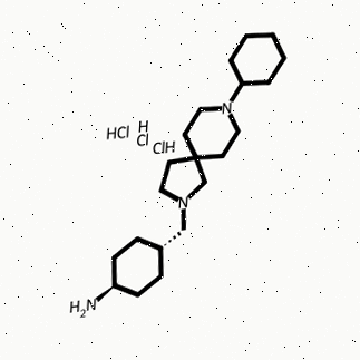 Cl.Cl.Cl.N[C@H]1CC[C@H](CN2CCC3(CCN(C4CCCCC4)CC3)C2)CC1